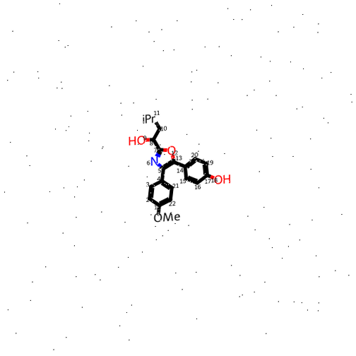 COc1ccc(-c2nc(C(O)CC(C)C)oc2-c2ccc(O)cc2)cc1